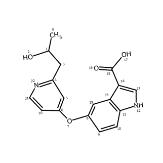 CC(O)Cc1cc(Oc2ccc3[nH]cc(C(=O)O)c3c2)ccn1